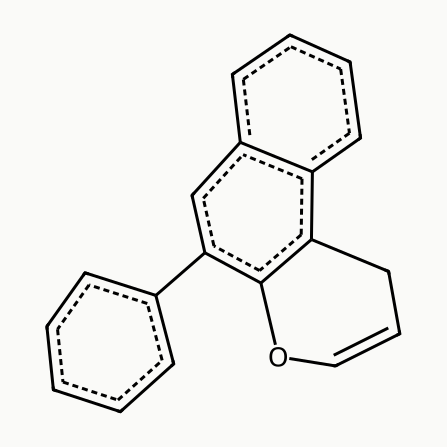 C1=COc2c(-c3ccccc3)cc3ccccc3c2C1